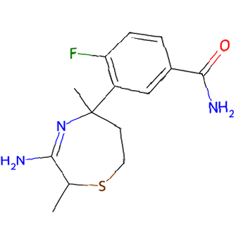 CC1SCCC(C)(c2cc(C(N)=O)ccc2F)N=C1N